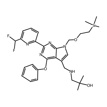 CC(C)(O)CNCc1cn(COCC[Si](C)(C)C)c2nc(-c3cccc(C(F)F)n3)nc(Oc3ccccc3)c12